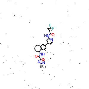 CC(C)(C)c1noc(C(=O)NC2CCCCc3cc(-c4ccnc(NC(=O)C5CC5(F)F)c4)ccc32)n1